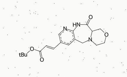 CC(C)(C)OC(=O)/C=C/c1cnc2c(c1)CN1CCOCC1C(=O)N2